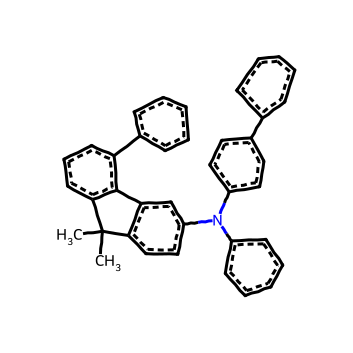 CC1(C)c2ccc(N(c3ccccc3)c3ccc(-c4ccccc4)cc3)cc2-c2c(-c3ccccc3)cccc21